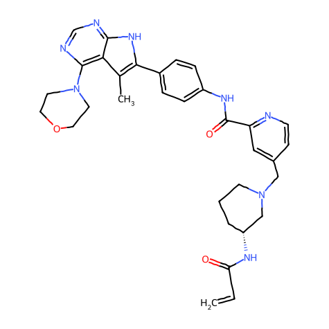 C=CC(=O)N[C@@H]1CCCN(Cc2ccnc(C(=O)Nc3ccc(-c4[nH]c5ncnc(N6CCOCC6)c5c4C)cc3)c2)C1